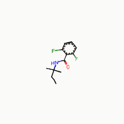 CCC(C)(C)NC(=O)c1c(F)cccc1F